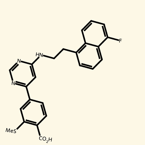 CSc1cc(-c2cc(NCCc3cccc4c(F)cccc34)ncn2)ccc1C(=O)O